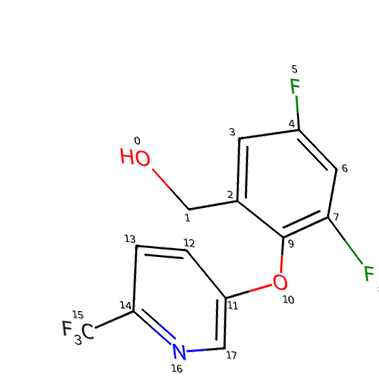 OCc1cc(F)cc(F)c1Oc1ccc(C(F)(F)F)nc1